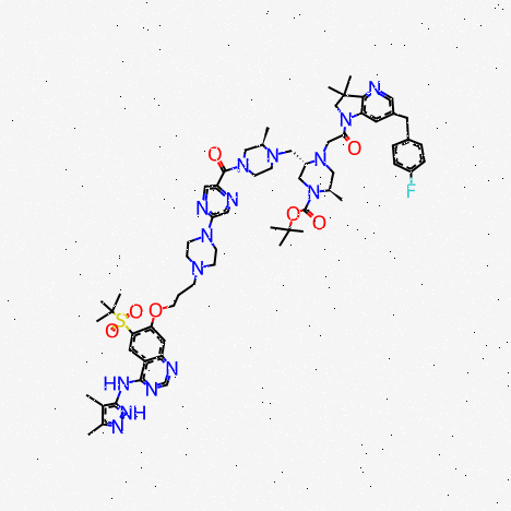 Cc1n[nH]c(Nc2ncnc3cc(OCCCN4CCN(c5cnc(C(=O)N6CCN(C[C@H]7CN(C(=O)OC(C)(C)C)[C@H](C)CN7CC(=O)N7CC(C)(C)c8ncc(Cc9ccc(F)cc9)cc87)[C@H](C)C6)cn5)CC4)c(S(=O)(=O)C(C)(C)C)cc23)c1C